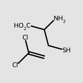 C=C(Cl)Cl.NC(CS)C(=O)O